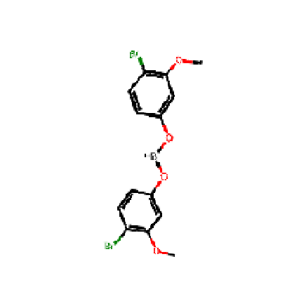 COc1cc(OBOc2ccc(Br)c(OC)c2)ccc1Br